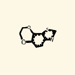 c1nc2ccc3c(c2s1)OCCO3